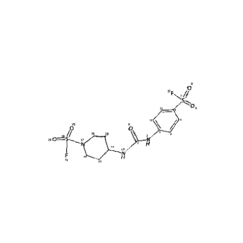 O=C(Nc1ccc(S(=O)(=O)F)cc1)NC1CCN(S(=O)(=O)F)CC1